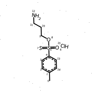 Cc1ccc(S(=O)(=S)OCCCN)cc1.Cl